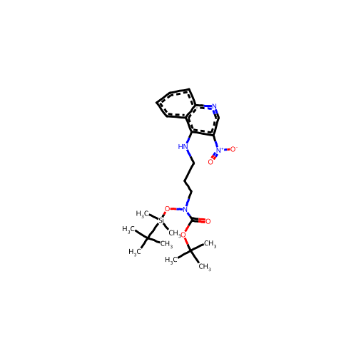 CC(C)(C)OC(=O)N(CCCNc1c([N+](=O)[O-])cnc2ccccc12)O[Si](C)(C)C(C)(C)C